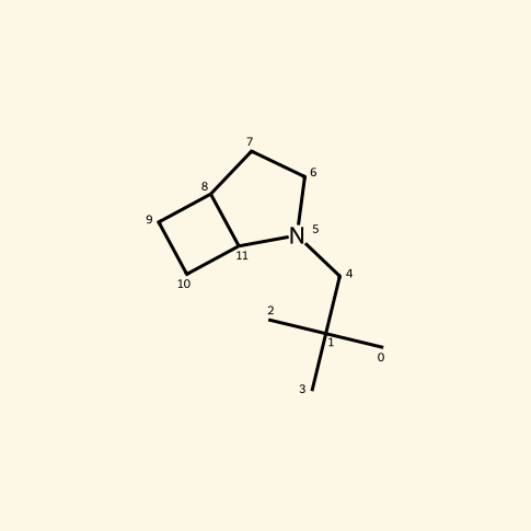 CC(C)(C)CN1CCC2CCC21